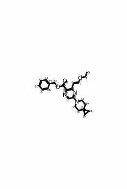 CCOC=Cc1nc(N2CCC3(CC2)CC3)cnc1C(=O)OCc1ccccc1